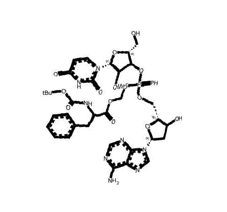 COC1C(OP(=P)(OC[C@H]2O[C@@H](n3cnc4c(N)ncnc43)CC2O)SCOC(=O)C(Cc2ccccc2)NC(=O)OC(C)(C)C)[C@@H](CO)O[C@H]1n1ccc(=O)[nH]c1=O